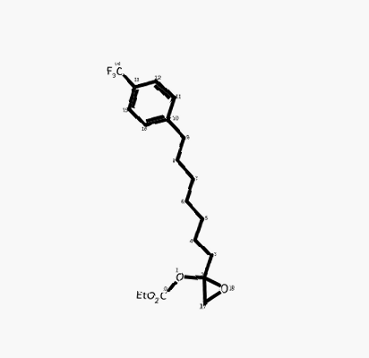 CCOC(=O)OC1(CCCCCCCc2ccc(C(F)(F)F)cc2)CO1